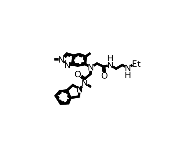 CCNCCNC(=O)CN(CC(=O)N(C)N1Cc2ccccc2C1)c1cc2nn(C)cc2cc1C